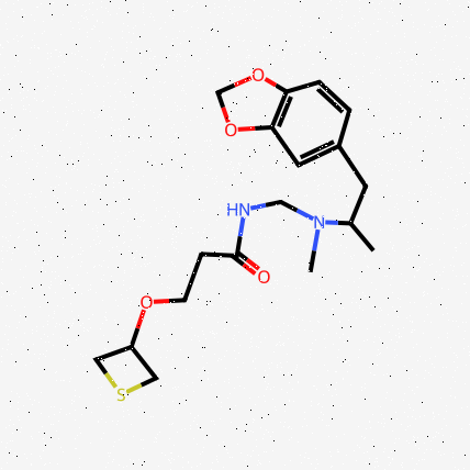 CC(Cc1ccc2c(c1)OCO2)N(C)CNC(=O)CCOC1CSC1